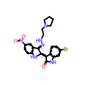 O=C1Nc2cc(Br)ccc2/C1=C1/Nc2ccc([N+](=O)[O-])cc2/C1=N\NCCN1CCCC1